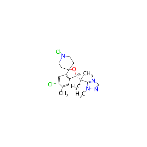 Cc1cc2c(cc1Cl)C1(CCN(Cl)CC1)O[C@@H]2C(C)(C)c1ncnn1C